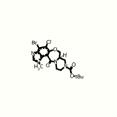 Cn1cnc2c(Br)c(Cl)c3c(c21)C(=O)N1CCN(C(=O)OC(C)(C)C)C[C@@H]1CO3